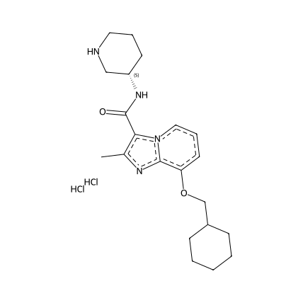 Cc1nc2c(OCC3CCCCC3)cccn2c1C(=O)N[C@H]1CCCNC1.Cl.Cl